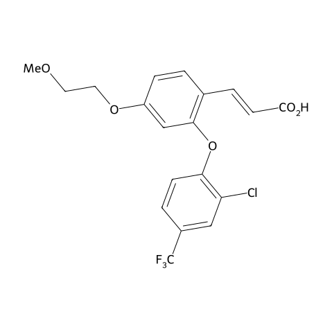 COCCOc1ccc(C=CC(=O)O)c(Oc2ccc(C(F)(F)F)cc2Cl)c1